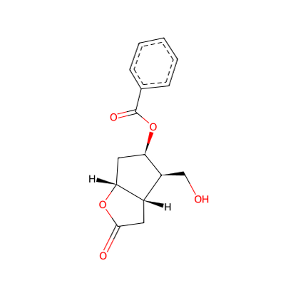 O=C1C[C@H]2[C@H](CO)[C@H](OC(=O)c3ccccc3)C[C@H]2O1